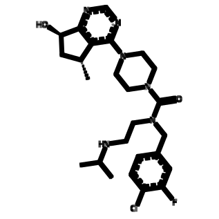 CC(C)NCCN(Cc1ccc(Cl)c(F)c1)C(=O)N1CCN(c2ncnc3c2[C@H](C)C[C@H]3O)CC1